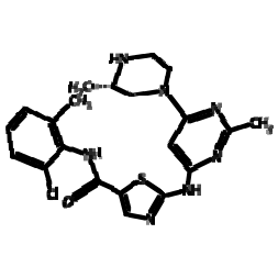 Cc1nc(Nc2ncc(C(=O)Nc3c(C)cccc3Cl)s2)cc(N2CCN[C@@H](C)C2)n1